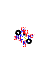 CC(=O)[C@H](CSc1c([N+](=O)[O-])cccc1[N+](=O)[O-])Nc1c([N+](=O)[O-])cccc1[N+](=O)[O-]